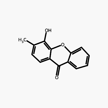 Cc1ccc2c(=O)c3ccccc3oc2c1O